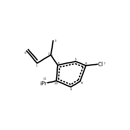 C=C[C](C)c1cc(Cl)ccc1C(C)C